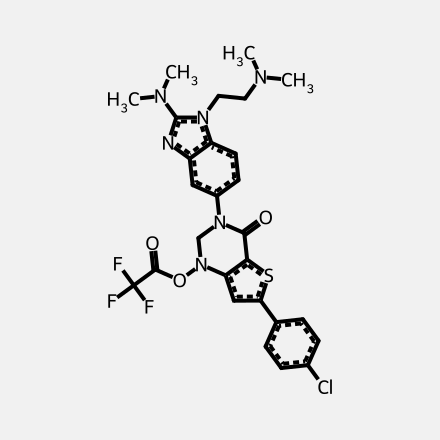 CN(C)CCn1c(N(C)C)nc2cc(N3CN(OC(=O)C(F)(F)F)c4cc(-c5ccc(Cl)cc5)sc4C3=O)ccc21